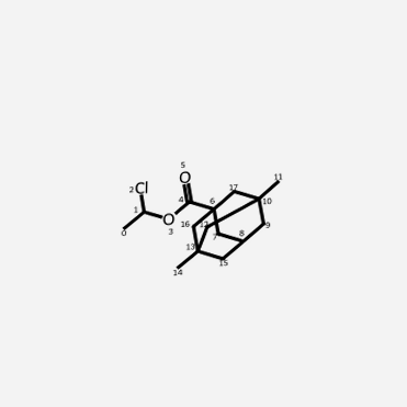 CC(Cl)OC(=O)C12CC3CC(C)(CC(C)(C3)C1)C2